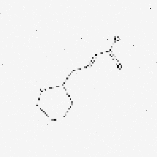 [O]C(=O)C=CCC1CCCCN1